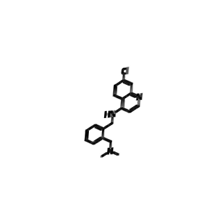 CN(C)Cc1ccccc1CNc1ccnc2cc(Cl)ccc12